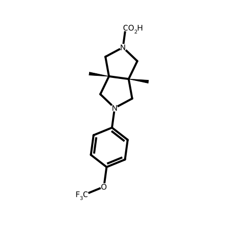 C[C@@]12CN(C(=O)O)C[C@]1(C)CN(c1ccc(OC(F)(F)F)cc1)C2